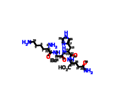 CC[C@H](C)[C@H](NC(=O)[C@@H](N)CCCCN)C(=O)N[C@@H](Cc1c[nH]cn1)C(=O)N[C@@H](CCC(N)=O)C(=O)O